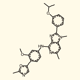 COc1cc(Nc2nc(C)cc3c2nc(-c2cccc(OC(C)C)c2)n3C)ccc1-c1cnc(C)o1